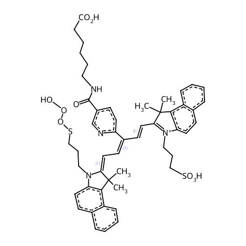 CC1(C)C(/C=C/C(=C/C=C2/N(CCCSOOO)c3ccc4ccccc4c3C2(C)C)c2ccc(C(=O)NCCCCCC(=O)O)cn2)=[N+](CCCS(=O)(=O)O)c2ccc3ccccc3c21